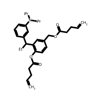 C=CCCC(=O)OCc1ccc(OC(=O)CCC=C)c(C(CC)c2cccc(N(C(C)C)C(C)C)c2)c1